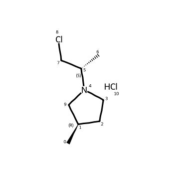 C[C@@H]1CCN([C@@H](C)CCl)C1.Cl